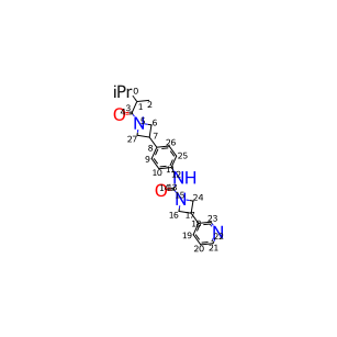 CC(C)C(C)C(=O)N1CC(c2ccc(NC(=O)N3CC(c4cccnc4)C3)cc2)C1